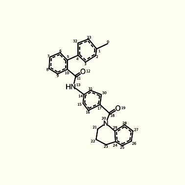 Cc1ccc(-c2ccccc2C(=O)Nc2ccc(C(=O)N3CCCc4ccccc43)cc2)cc1